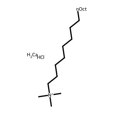 CCCCCCCCCCCCCCCC[N+](C)(C)C.Cl.[CaH2]